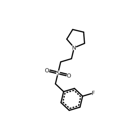 O=S(=O)(CCN1CCCC1)Cc1cccc(F)c1